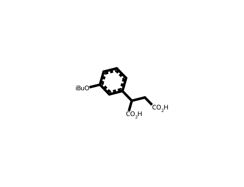 CC(C)COc1cccc(C(CC(=O)O)C(=O)O)c1